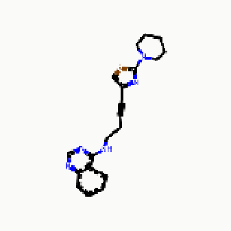 C(#Cc1csc(N2CCCCC2)n1)CCNc1ncnc2ccccc12